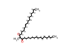 [CH2]C(C(=O)CCCCCCCCCCCCCCC)C(=O)CCCCCCCCCCCCCCC